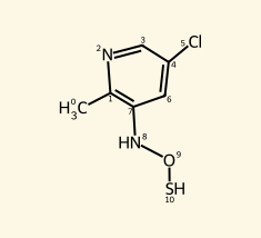 Cc1ncc(Cl)cc1NOS